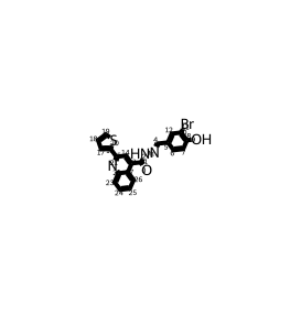 O=C(NN=Cc1ccc(O)c(Br)c1)c1cc(-c2cccs2)nc2ccccc12